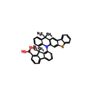 CC1(C)c2ccccc2N(c2cccc3c2C(C)(C)c2c(B(O)O)cccc2-3)c2cc3sc4ccccc4c3cc21